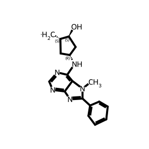 [CH2][C@H]1C[C@@H](Nc2ncnc3nc(-c4ccccc4)n(C)c23)C[C@@H]1O